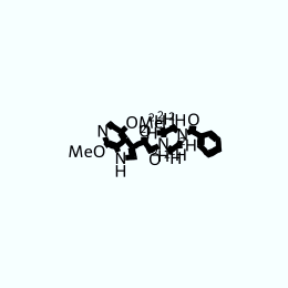 [2H]C1([2H])N(C(=O)C(=O)c2c[nH]c3c(OC)ncc(OC)c23)C([2H])([2H])C([2H])([2H])N(C(=O)c2ccccc2)C1([2H])[2H]